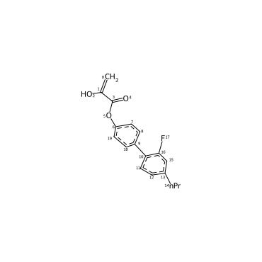 C=C(O)C(=O)Oc1ccc(-c2ccc(CCC)cc2F)cc1